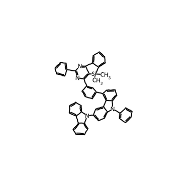 C[Si]1(C)c2ccccc2-c2nc(-c3ccccc3)nc(-c3cccc(-c4cccc5c4c4cc(-n6c7ccccc7c7ccccc76)ccc4n5-c4ccccc4)c3)c21